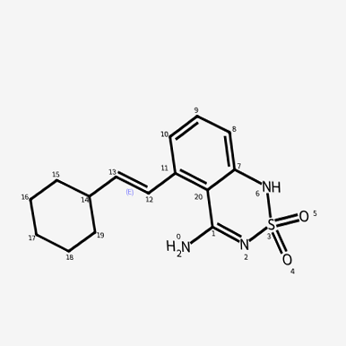 NC1=NS(=O)(=O)Nc2cccc(/C=C/C3CCCCC3)c21